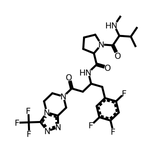 CNC(C(=O)N1CCCC1C(=O)NC(CC(=O)N1CCn2c(nnc2C(F)(F)F)C1)Cc1cc(F)c(F)cc1F)C(C)C